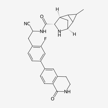 CC1C2C1[C@H]1C[C@@H]2N[C@@H]1C(=O)NC(C#N)Cc1ccc(-c2ccc3c(c2)CCNC3=O)cc1F